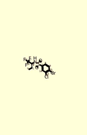 CC[C@H](NS(=O)(=O)c1ccc(Br)c(Cl)c1)C(F)(F)F